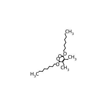 CCCCCCCCOC(=O)/C(CC)=C(/CC)C(=O)OCCCCCCCC